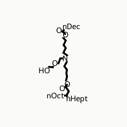 CCCCCCCCCCC(=O)OCCCCCCN(CCCCCCOC(=O)CC(CCCCCCC)CCCCCCCC)CCOCCO